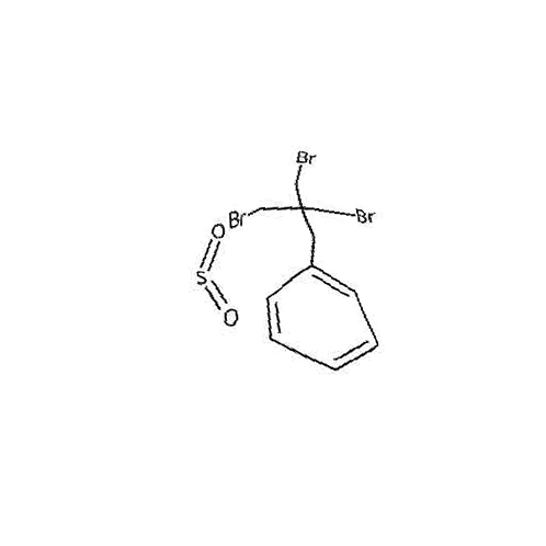 BrC(Br)(Br)c1ccccc1.O=S=O